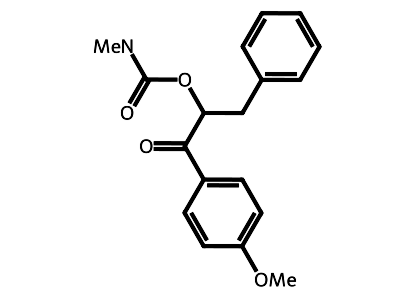 CNC(=O)OC(Cc1ccccc1)C(=O)c1ccc(OC)cc1